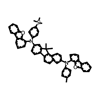 Cc1ccc(N(c2ccc3c4c(ccc3c2)-c2ccc(N(c3ccc([Si](C)(C)C)cc3)c3cccc5c3oc3ccccc35)cc2C4(C)C)c2cccc3c2oc2ccccc23)cc1